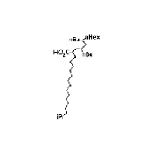 CCCCCCC(CCCC)CC(CCCC)CC(CCCCCCCCCCCCCC(C)C)C(=O)O